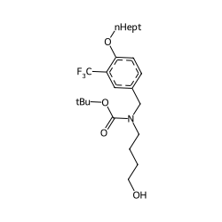 CCCCCCCOc1ccc(CN(CCCCO)C(=O)OC(C)(C)C)cc1C(F)(F)F